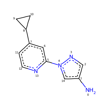 Nc1cnn(-c2cc(C3CC3)ccn2)c1